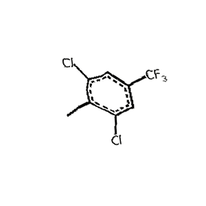 Cc1c(Cl)cc(C(F)(F)F)cc1Cl